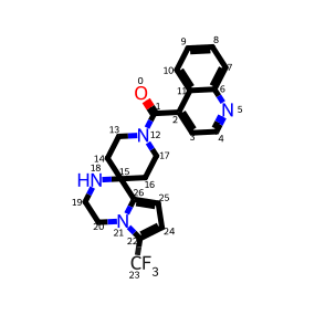 O=C(c1ccnc2ccccc12)N1CCC2(CC1)NCCn1c(C(F)(F)F)ccc12